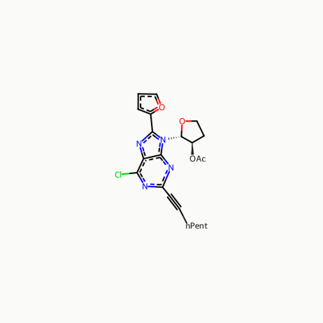 CCCCCC#Cc1nc(Cl)c2nc(-c3ccco3)n([C@@H]3OCC[C@H]3OC(C)=O)c2n1